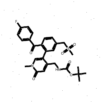 Cn1cc(-c2cc(CS(C)(=O)=O)ccc2C(=O)c2ccc(F)cc2)c(CNC(=O)OC(C)(C)C)cc1=O